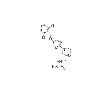 CC(=O)NCC1CN(c2ncc(OCc3c(Cl)cccc3Cl)cn2)CCO1